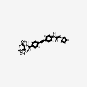 C[C@@H](O)[C@H](NC(=O)c1ccc(C#Cc2ccc(NC(=O)CN3CCCC3)cc2)cc1)C(=O)NO